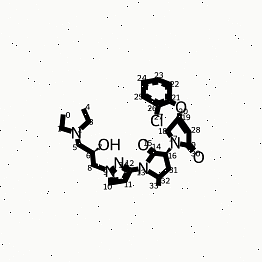 CCN(CC)C[C@H](O)Cn1ccc(N2C(=O)[C@@H](N3CC(Oc4ccccc4Cl)=CC3=O)CC2C)n1